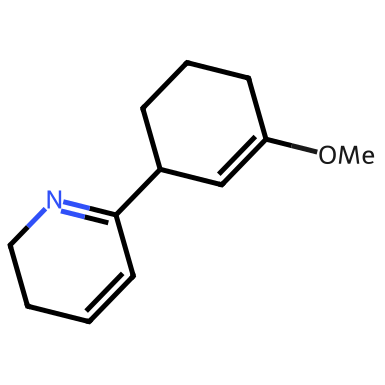 COC1=CC(C2=NCCC=C2)CCC1